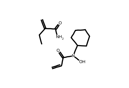 C=C(CC)C(N)=O.C=CC(=O)N(O)C1CCCCC1